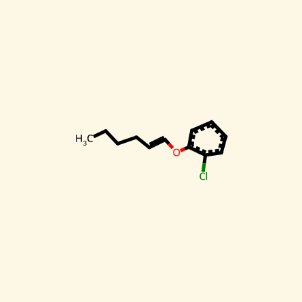 CCCCC=COc1ccccc1Cl